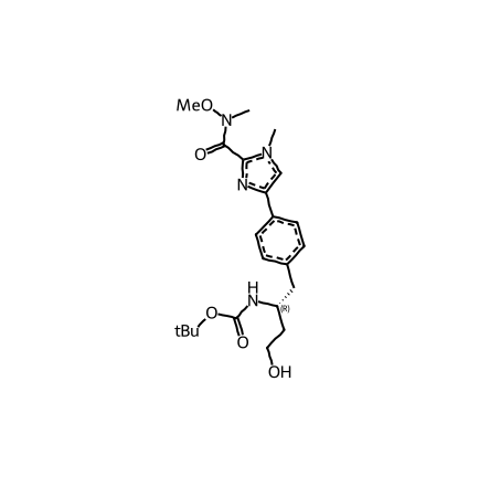 CON(C)C(=O)c1nc(-c2ccc(C[C@H](CCO)NC(=O)OC(C)(C)C)cc2)cn1C